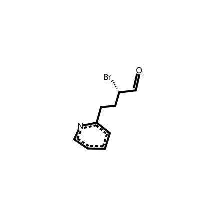 O=C[C@@H](Br)CCc1ccccn1